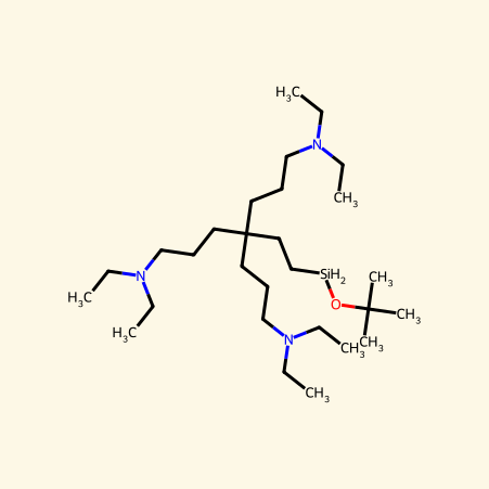 CCN(CC)CCCC(CCCN(CC)CC)(CCCN(CC)CC)CC[SiH2]OC(C)(C)C